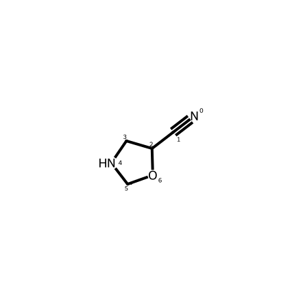 N#CC1CN[CH]O1